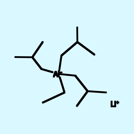 C[CH2][Al-]([CH2]C(C)C)([CH2]C(C)C)[CH2]C(C)C.[Li+]